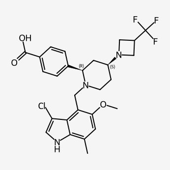 COc1cc(C)c2[nH]cc(Cl)c2c1CN1CC[C@H](N2CC(C(F)(F)F)C2)C[C@@H]1c1ccc(C(=O)O)cc1